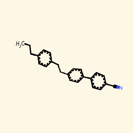 CCCc1ccc(CCc2ccc(-c3ccc(C#N)cc3)cc2)cc1